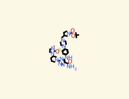 CN1CCN([C@@H]2CCCN(c3nnc(C(N)=O)c(Nc4ccc(N5CCN(CC6CCN(C(=O)OC(C)(C)C)C6)CC5)c(F)c4)n3)C2)C1=O